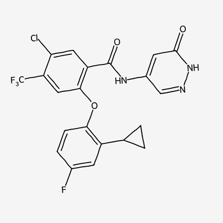 O=C(Nc1cn[nH]c(=O)c1)c1cc(Cl)c(C(F)(F)F)cc1Oc1ccc(F)cc1C1CC1